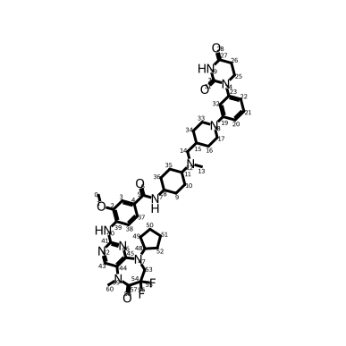 COc1cc(C(=O)NC2CCC(N(C)CC3CCN(c4cccc(N5CCC(=O)NC5=O)c4)CC3)CC2)ccc1Nc1ncc2c(n1)N(C1CCCC1)CC(F)(F)C(=O)N2C